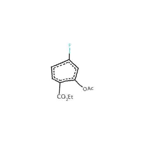 CCOC(=O)c1ccc(F)cc1OC(C)=O